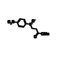 COC(=O)CC[S+]([O-])c1ccc([N+](=O)[O-])cc1